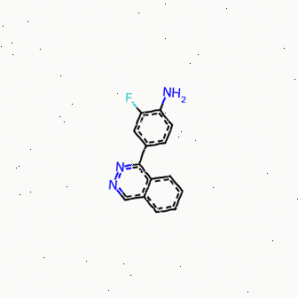 Nc1ccc(-c2nncc3ccccc23)cc1F